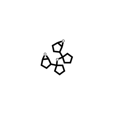 C1CCC(OC2(C3CCC4OC43)CCCC2)(C2CCC3OC32)C1